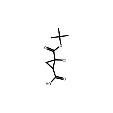 CC(C)(C)OC(=O)C1(Cl)CC1C(=O)O